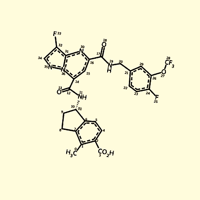 Cc1c(C(=O)O)ccc2c1CC[C@@H]2NC(=O)c1cc(C(=O)NCc2ccc(F)c(OC(F)(F)F)c2)nc2c(F)cnn12